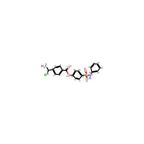 CC(Br)c1ccc(C(=O)Oc2ccc(S(=O)(=O)Nc3ccccc3)cc2)cc1